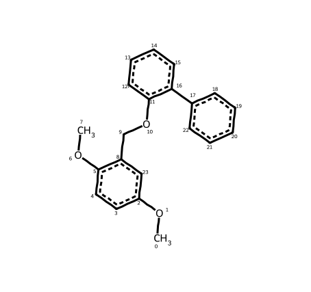 COc1ccc(OC)c(COc2[c]cccc2-c2ccccc2)c1